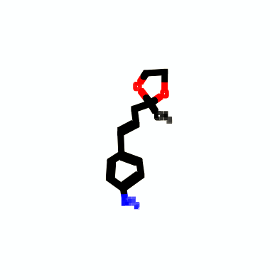 CC1(C/C=C/c2ccc(N)cc2)OCCO1